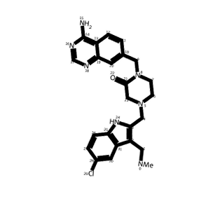 CNCc1c(CN2CCN(Cc3ccc4c(N)ncnc4c3)C(=O)C2)[nH]c2ccc(Cl)cc12